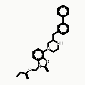 C=C(CC)OCN1C(=C)Oc2c(N3CCNC(Cc4cccc(-c5ccccc5)c4)C3)cccc21